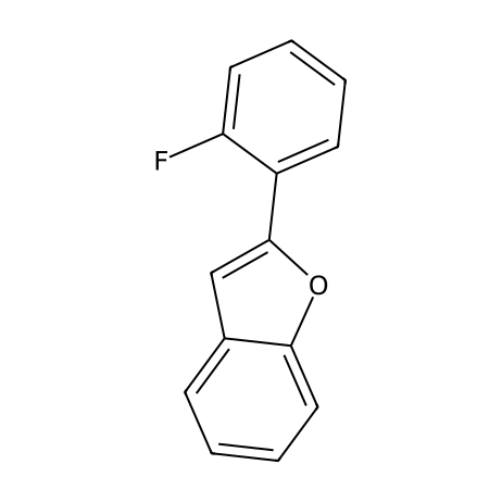 Fc1ccccc1-c1cc2ccccc2o1